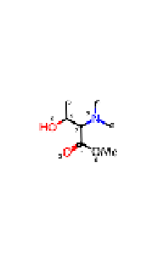 COC(=O)C(C(C)O)N(C)C